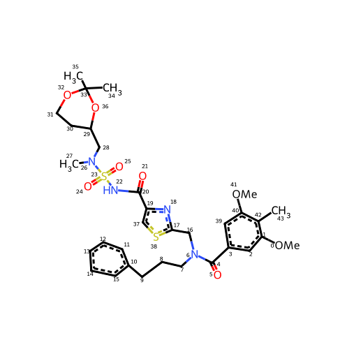 COc1cc(C(=O)N(CCCc2ccccc2)Cc2nc(C(=O)NS(=O)(=O)N(C)CC3CCOC(C)(C)O3)cs2)cc(OC)c1C